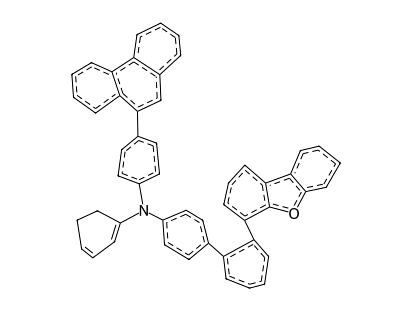 C1=CCCC(N(c2ccc(-c3ccccc3-c3cccc4c3oc3ccccc34)cc2)c2ccc(-c3cc4ccccc4c4ccccc34)cc2)=C1